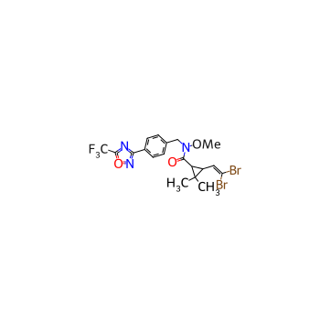 CON(Cc1ccc(-c2noc(C(F)(F)F)n2)cc1)C(=O)C1C(C=C(Br)Br)C1(C)C